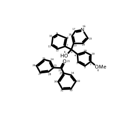 COc1ccc(C(O)(c2ccccc2)c2ccncc2)cc1.O=C(c1ccccc1)c1ccccc1